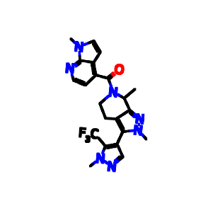 CC1c2nn(C)c(-c3cnn(C)c3C(F)(F)F)c2CCN1C(=O)c1ccnc2c1ccn2C